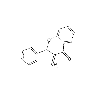 C=C1C(=O)c2ccccc2OC1c1ccccc1